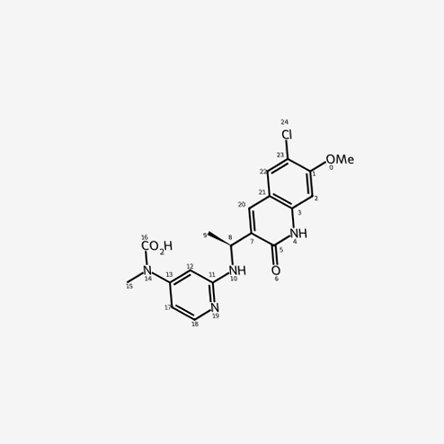 COc1cc2[nH]c(=O)c([C@H](C)Nc3cc(N(C)C(=O)O)ccn3)cc2cc1Cl